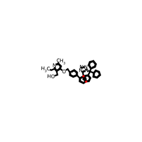 CCc1nc(C)cc(OCc2ccc(-c3ccccc3-c3nnnn3C(c3ccccc3)(c3ccccc3)c3ccccc3)cc2)c1CO